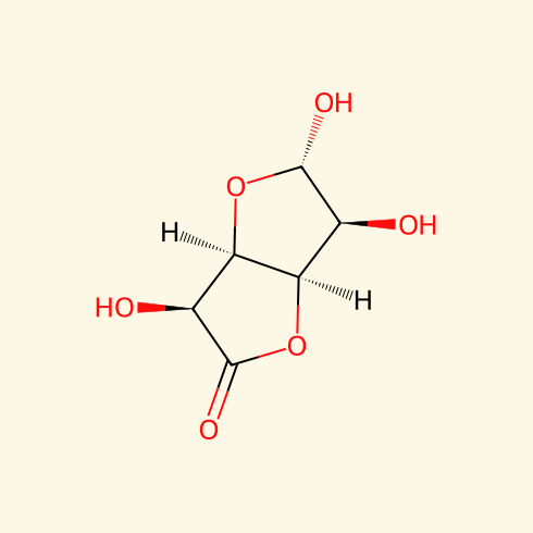 O=C1O[C@@H]2[C@H](O)[C@@H](O)O[C@@H]2[C@@H]1O